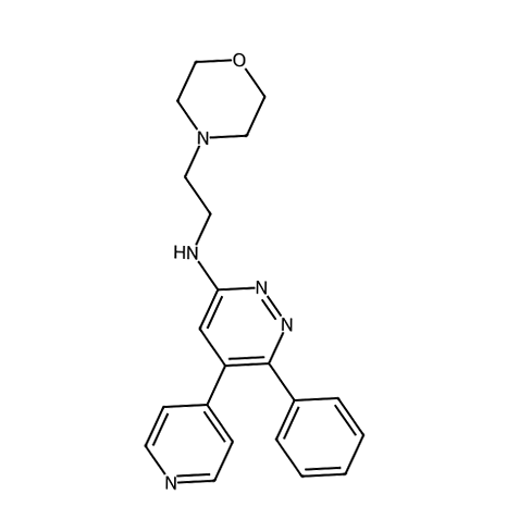 c1ccc(-c2nnc(NCCN3CCOCC3)cc2-c2ccncc2)cc1